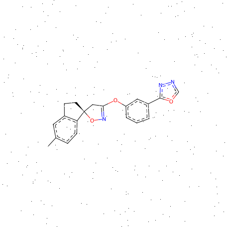 Cc1ccc2c(c1)CC[C@]21CC(Oc2cccc(-c3nnco3)c2)=NO1